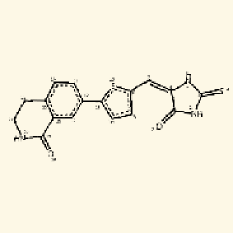 O=C1NC(=S)NC1=Cc1ccc(-c2ccc3c(c2)C(=O)NCC3)s1